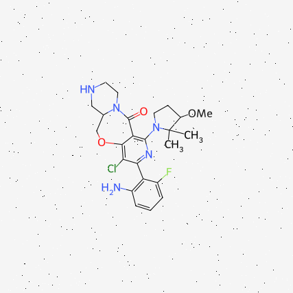 COC1CCN(c2nc(-c3c(N)cccc3F)c(Cl)c3c2C(=O)N2CCNCC2CO3)C1(C)C